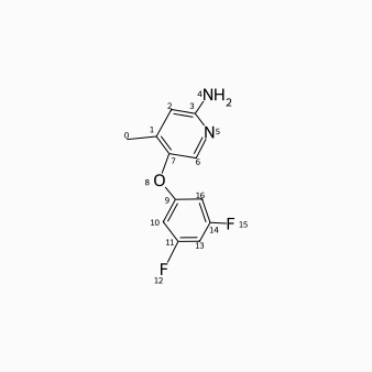 Cc1cc(N)ncc1Oc1cc(F)cc(F)c1